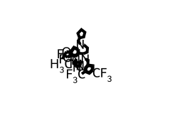 Cn1nnc(N(Cc2cc(C(F)(F)F)cc(C(F)(F)F)c2)C2CCCN(CC3CCCC3)c3cc4c(cc32)OC(F)(F)O4)n1